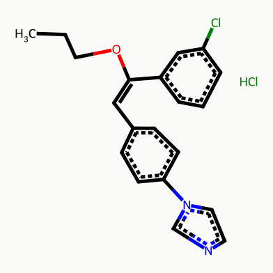 CCCO/C(=C/c1ccc(-n2ccnc2)cc1)c1cccc(Cl)c1.Cl